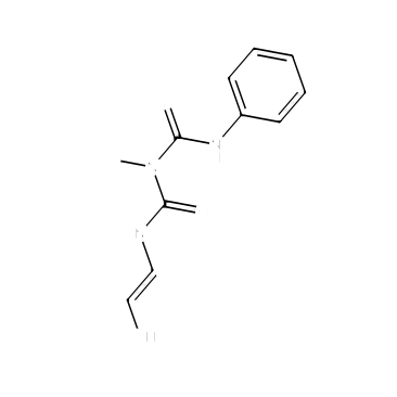 CC=CNC(=O)N(C)C(=O)Nc1ccccc1